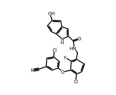 N#Cc1cc(Cl)cc(Oc2c(Cl)ccc(CNC(=O)c3cc4cc(O)ccc4[nH]3)c2F)c1